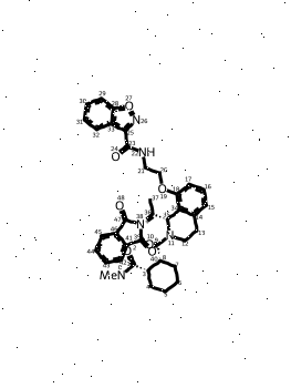 CNC(=O)[C@H]1CCCC[C@H]1C(=O)N1CCc2cccc(OCCNC(=O)c3noc4ccccc34)c2[C@H]1C(C)=[N+]1C(=O)c2ccccc2C1=O